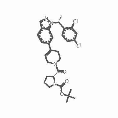 C[C@H](c1ccc(Cl)cc1Cl)n1ncc2ccc(C3=CCN(C(=O)[C@H]4CCCN4C(=O)OC(C)(C)C)CC3)cc21